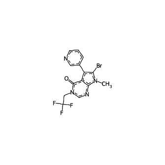 Cn1c(Br)c(-c2cccnc2)c2c(=O)n(CC(F)(F)F)cnc21